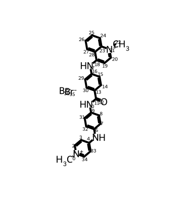 C[n+]1ccc(Nc2ccc(NC(=O)c3ccc(Nc4cc[n+](C)c5ccccc45)cc3)cc2)cc1.[Br-].[Br-]